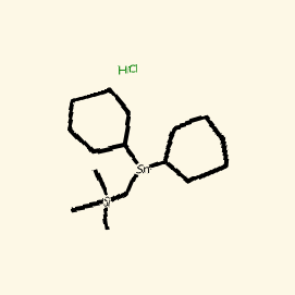 C[Si](C)(C)[CH2][Sn]([CH]1CCCCC1)[CH]1CCCCC1.Cl